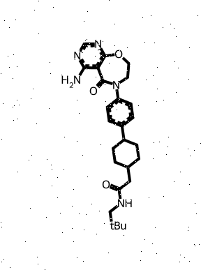 CC(C)(C)CNC(=O)CC1CCC(c2ccc(N3CCOc4ncnc(N)c4C3=O)cc2)CC1